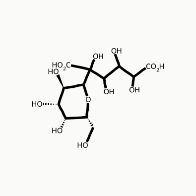 O=C(O)C(O)C(O)C(O)C(O)(C(=O)O)C1O[C@H](CO)[C@H](O)[C@H](O)[C@H]1O